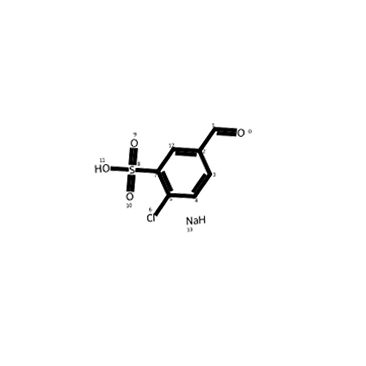 O=Cc1ccc(Cl)c(S(=O)(=O)O)c1.[NaH]